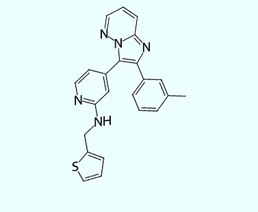 Cc1cccc(-c2nc3cccnn3c2-c2ccnc(NCc3cccs3)c2)c1